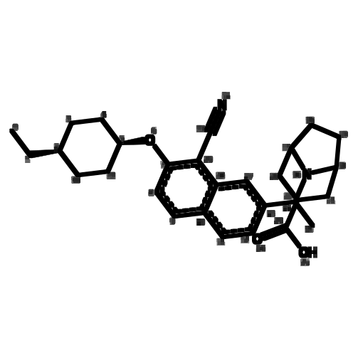 CC[C@H]1CC[C@@H](Oc2ccc3ccc(C(C)N4C5CCC4CC(C(=O)O)C5)cc3c2C#N)CC1